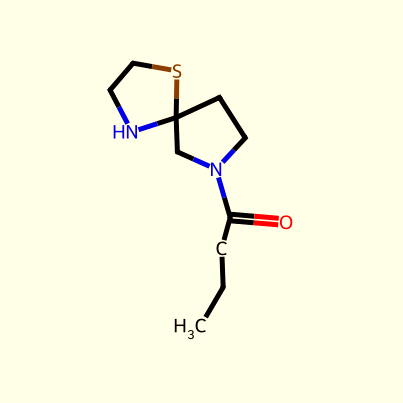 CCCC(=O)N1CCC2(C1)NCCS2